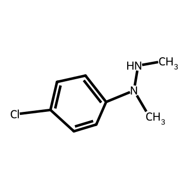 CNN(C)c1ccc(Cl)cc1